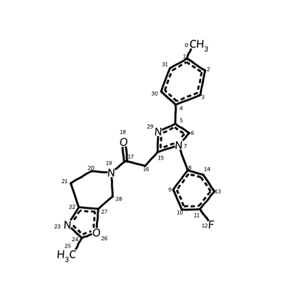 Cc1ccc(-c2cn(-c3ccc(F)cc3)c(CC(=O)N3CCc4nc(C)oc4C3)n2)cc1